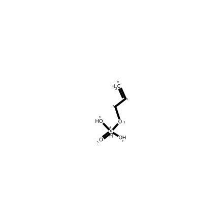 C=CCO[SH](=O)(O)O